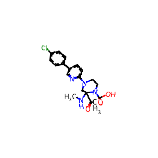 CNC1(C(C)=O)CN(c2ccc(-c3ccc(Cl)cc3)cn2)CCN1C(=O)O